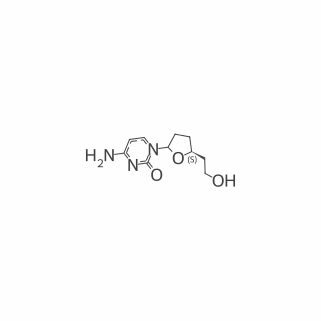 Nc1ccn(C2CC[C@@H](CCO)O2)c(=O)n1